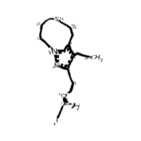 Cc1c(COPI)nn2c1CSCC2